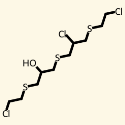 OC(CSCCCl)CSCC(Cl)CSCCCl